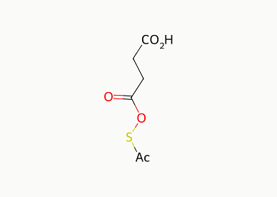 CC(=O)SOC(=O)CCC(=O)O